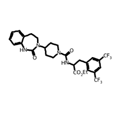 CCOC(=O)C(Cc1cc(C(F)(F)F)cc(C(F)(F)F)c1)NC(=O)N1CCC(N2CCc3ccccc3NC2=O)CC1